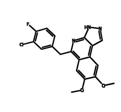 COc1cc2c(Cc3ccc(F)c(Cl)c3)nc3[nH]ncc3c2cc1OC